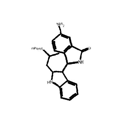 CCCCCC(C)CC1Nc2ccccc2C1C1NC(=O)c2cc(N)ccc21